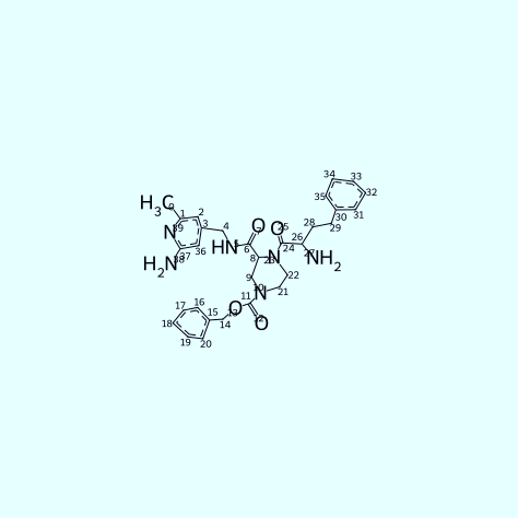 Cc1cc(CNC(=O)C2CN(C(=O)OCc3ccccc3)CCN2C(=O)C(N)CCc2ccccc2)cc(N)n1